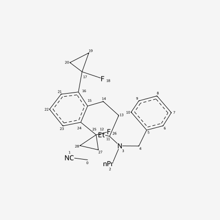 CC#N.CCCN(Cc1ccccc1)C(CC)CCc1c(C2(F)CC2)cccc1C1(F)CC1